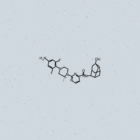 C[C@@H]1CN(c2c(F)cc(N)cc2F)CCN1c1nccc(C(=O)NC2C3CC4CC2CC(O)(C4)C3)n1